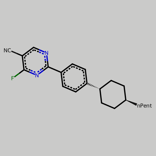 CCCCC[C@H]1CC[C@H](c2ccc(-c3ncc(C#N)c(F)n3)cc2)CC1